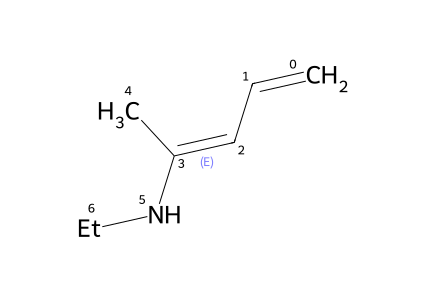 C=C/C=C(\C)NCC